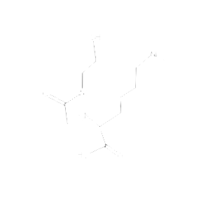 CC(=O)NCCS.NCCCCC(N)C(=O)O